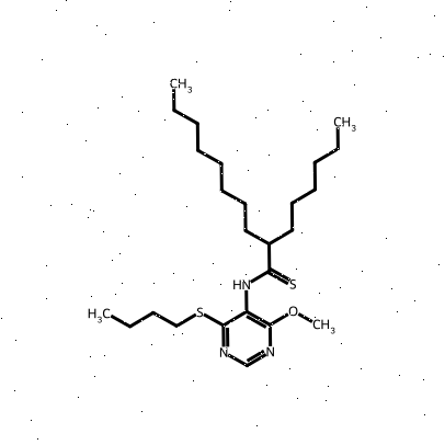 CCCCCCCCC(CCCCCC)C(=S)Nc1c(OC)ncnc1SCCCC